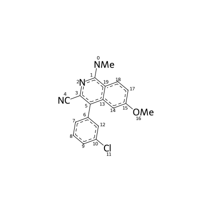 CNc1nc(C#N)c(-c2cccc(Cl)c2)c2cc(OC)ccc12